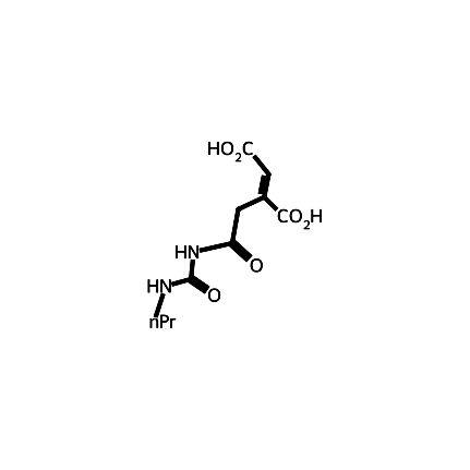 CCCNC(=O)NC(=O)C/C(=C\C(=O)O)C(=O)O